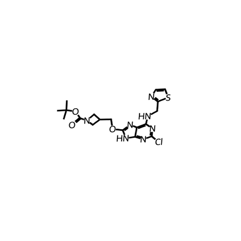 CC(C)(C)OC(=O)N1CC(COc2nc3c(NCc4nccs4)nc(Cl)nc3[nH]2)C1